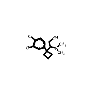 CN(C)C(CS)C1(c2ccc(Cl)c(Cl)c2)CCC1